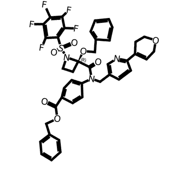 O=C(OCc1ccccc1)c1ccc(N(Cc2ccc(C3=CCOCC3)nc2)C(=O)[C@]2(OCc3ccccc3)CCN2S(=O)(=O)c2c(F)c(F)c(F)c(F)c2F)cc1